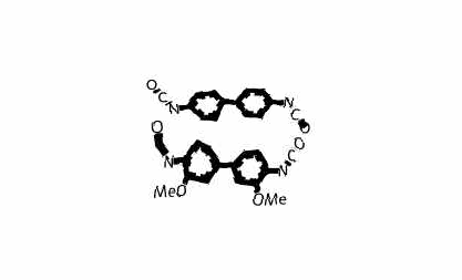 COc1cc(-c2ccc(N=C=O)c(OC)c2)ccc1N=C=O.O=C=Nc1ccc(-c2ccc(N=C=O)cc2)cc1